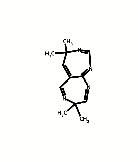 CC1(C)C=NC2=NC=NC(C)(C)C=C2C=N1